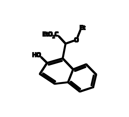 CCOC(=O)C(OCC)c1c(O)ccc2ccccc12